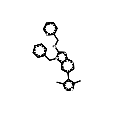 Cc1noc(C)c1-c1cnc2nc(NCc3ccccn3)n(Cc3ccccc3)c2c1